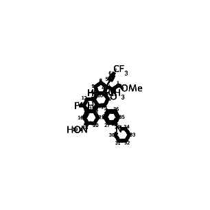 COCC(=O)[C@@]1(C#CC(F)(F)F)CC[C@H]2[C@@H]3CC(F)C4=CC(=NO)CCC4=C3[C@@H](c3ccc(N4CCCCC4)cc3)C[C@@]21C